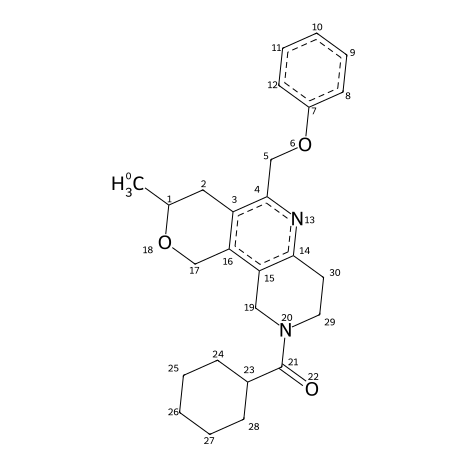 CC1Cc2c(COc3ccccc3)nc3c(c2CO1)CN(C(=O)C1CCCCC1)CC3